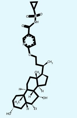 CC[C@H]1[C@@H](O)[C@@H]2[C@H](CC[C@]3(C)[C@@H]([C@H](C)CCOc4ccc(C(=O)NS(=O)(=O)C5CC5)cn4)CC[C@@H]23)[C@@]2(C)CC[C@@H](O)C[C@@H]12